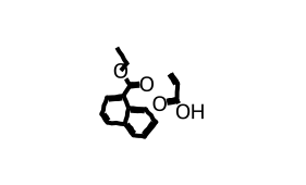 C=CC(=O)O.CCOC(=O)c1cccc2ccccc12